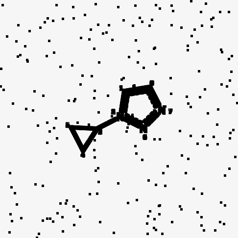 c1cn(C2CC2)nn1